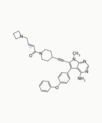 Cn1c(C#CC2CCN(C(=O)/C=C/CN3CCC3)CC2)c(-c2ccc(Oc3ccccc3)cc2)c2c(N)ncnc21